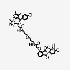 Cc1sc2c(c1C)C(c1ccc(Cl)cc1)=N[C@@H](CC(=O)NCCCOCCCNC(=O)COc1cccc3c1C(=O)N(C1CCC(=O)NC1=O)C3=O)c1nnc(C)n1-2